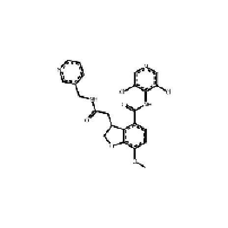 COc1ccc(C(=O)Nc2c(Cl)cncc2Cl)c2c1OCC2CC(=O)NCc1cccnc1